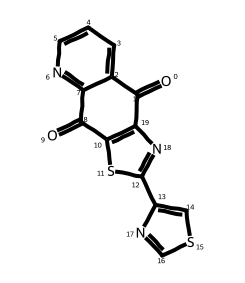 O=C1c2cccnc2C(=O)c2sc(-c3cscn3)nc21